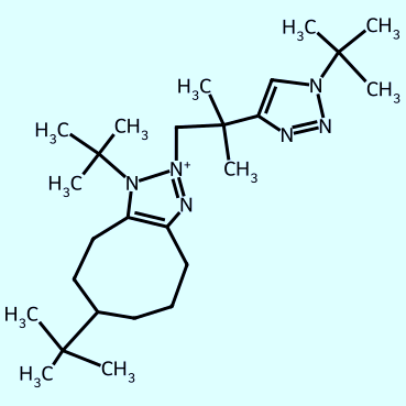 CC(C)(C[n+]1nc2c(n1C(C)(C)C)CCC(C(C)(C)C)CCC2)c1cn(C(C)(C)C)nn1